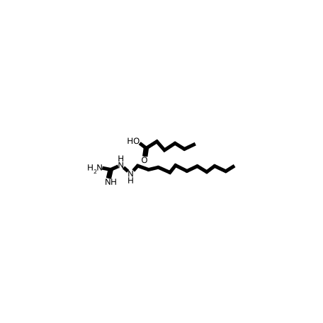 CCCCCC(=O)O.CCCCCCCCCCCNNC(=N)N